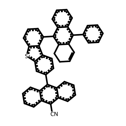 N#Cc1c2ccccc2c(-c2ccc3c(c2)sc2cccc(-c4c5c(c(-c6ccccc6)c6ccccc46)C=CCC5)c23)c2ccccc12